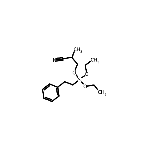 CCO[Si](CCc1ccccc1)(OCC)OCC(C)C#N